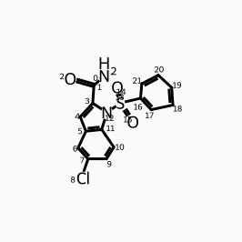 NC(=O)c1cc2cc(Cl)ccc2n1S(=O)(=O)c1ccccc1